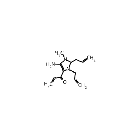 C=CCC1N(C)C(N)=C(C(=O)C=C)N1CC=C